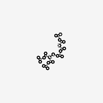 C1=Cc2c(n(-c3ccc4c(c3)c3ccccc3n4-c3cc(-n4c5ccccc5c5cc(-n6c7ccccc7c7ccc(-c8cccc(-c9nc(-n%10c%11ccccc%11c%11cc(-n%12c%13ccccc%13c%13ccccc%13%12)ccc%11%10)cc(-n%10c%11ccccc%11c%11cc(-n%12c%13ccccc%13c%13ccccc%13%12)ccc%11%10)n9)n8)cc76)ccc54)ncn3)c3ccccc23)CC1